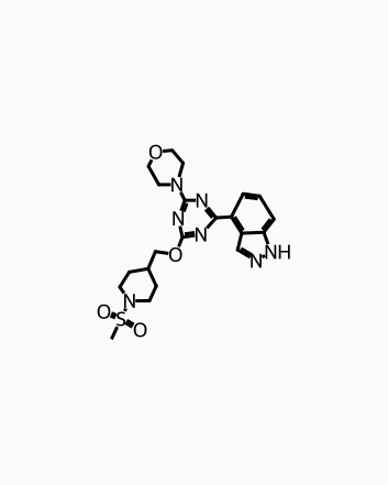 CS(=O)(=O)N1CCC(COc2nc(-c3cccc4[nH]ncc34)nc(N3CCOCC3)n2)CC1